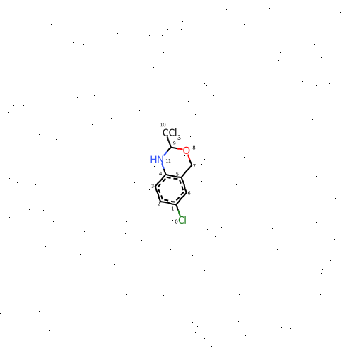 Clc1ccc2c(c1)COC(C(Cl)(Cl)Cl)N2